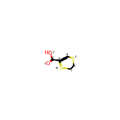 O=C(O)C1=CSCCS1